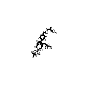 COCC(C)COCc1ccc(C2=CC3CN(C(=O)OC(C)(C)C)CC(C2CC(=O)OC)N3C)cc1